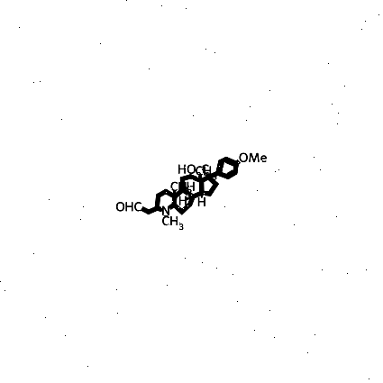 COc1ccc(C2(C(=O)O)CC[C@H]3[C@@H]4CCC5N(C)C(CC=O)CC[C@]5(C)[C@@H]4CC[C@@]32C)cc1